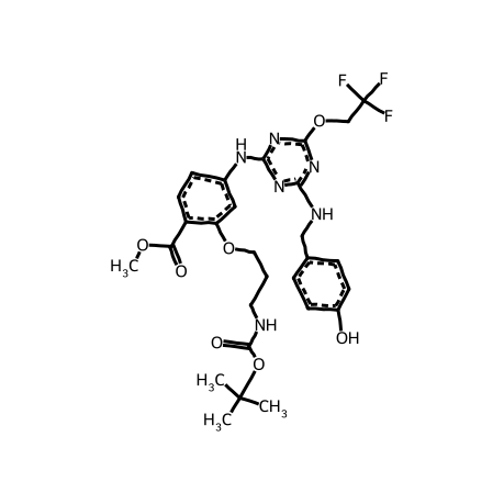 COC(=O)c1ccc(Nc2nc(NCc3ccc(O)cc3)nc(OCC(F)(F)F)n2)cc1OCCCNC(=O)OC(C)(C)C